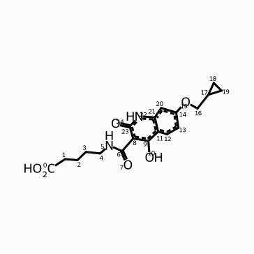 O=C(O)CCCCNC(=O)c1c(O)c2ccc(OCC3CC3)cc2[nH]c1=O